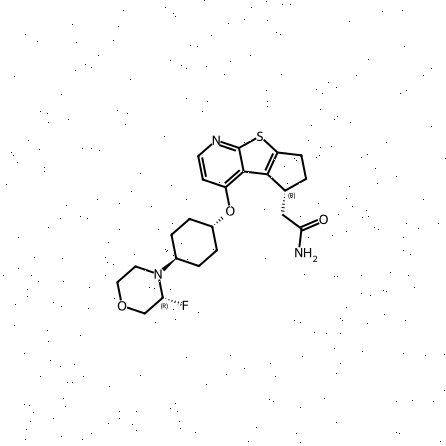 NC(=O)C[C@H]1CCc2sc3nccc(O[C@H]4CC[C@H](N5CCOC[C@H]5F)CC4)c3c21